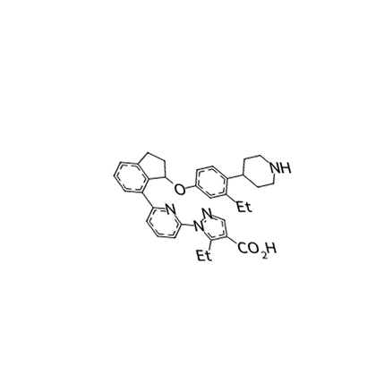 CCc1cc(OC2CCc3cccc(-c4cccc(-n5ncc(C(=O)O)c5CC)n4)c32)ccc1C1CCNCC1